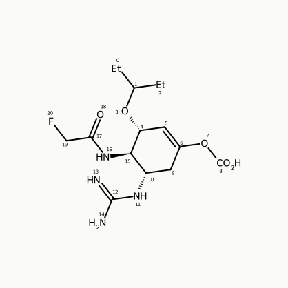 CCC(CC)O[C@@H]1C=C(OC(=O)O)C[C@H](NC(=N)N)[C@H]1NC(=O)CF